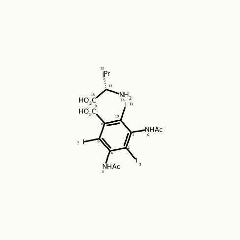 CC(=O)Nc1c(I)c(NC(C)=O)c(I)c(C(=O)O)c1I.CC(C)[C@H](N)C(=O)O